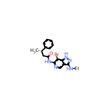 CCNc1n[nH]c2c(Br)c(NC(=O)C[C@H](C)c3ccccc3)ncc12